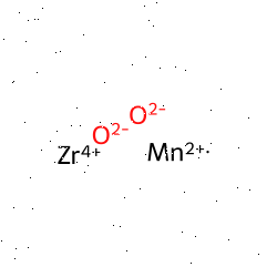 [Mn+2].[O-2].[O-2].[Zr+4]